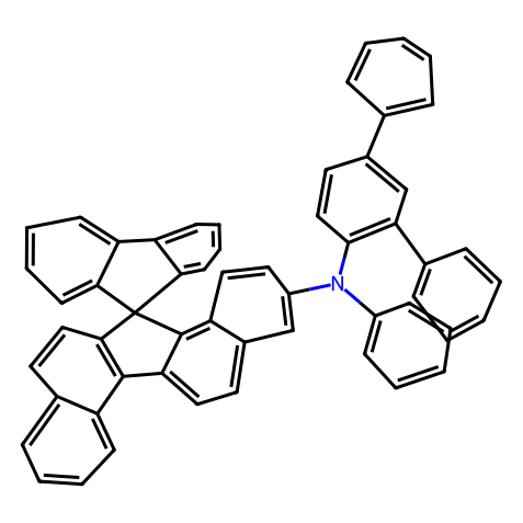 c1ccc(-c2ccc(N(c3ccccc3)c3ccc4c5c(ccc4c3)-c3c(ccc4ccccc34)C53c4ccccc4-c4ccccc43)c(-c3ccccc3)c2)cc1